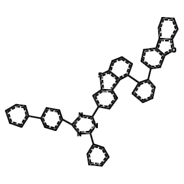 c1ccc(-c2ccc(-c3nc(-c4ccccc4)nc(-c4ccc5c(c4)sc4cccc(-c6ccccc6-c6ccc7c(c6)oc6ccccc67)c45)n3)cc2)cc1